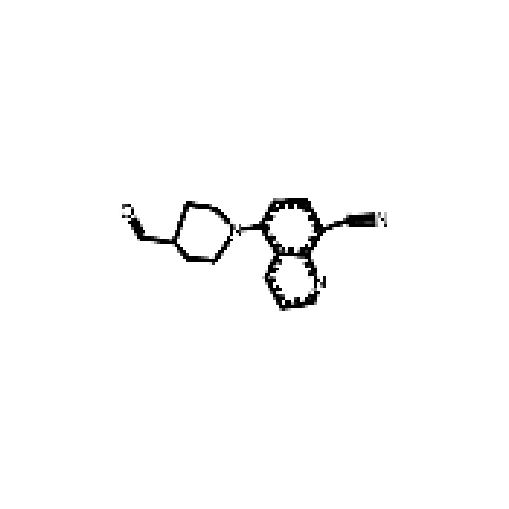 N#Cc1ccc(N2CCC(C=O)CC2)c2cccnc12